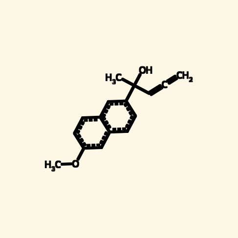 C=C=CC(C)(O)c1ccc2cc(OC)ccc2c1